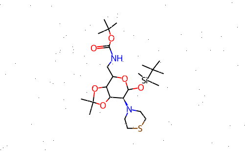 CC(C)(C)OC(=O)NCC1OC(O[Si](C)(C)C(C)(C)C)[C@@H](N2CCSCC2)C2OC(C)(C)OC12